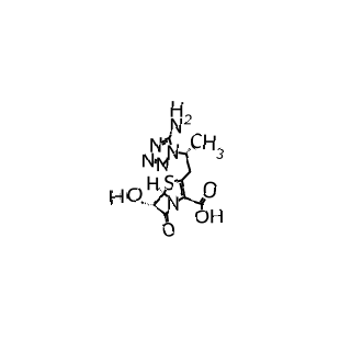 C[C@H](CC1=C(C(=O)O)N2C(=O)[C@H](CO)[C@H]2S1)n1nnnc1N